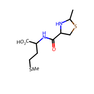 CSCCC(NC(=O)C1CSC(C)N1)C(=O)O